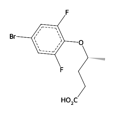 C[C@H](CCC(=O)O)Oc1c(F)cc(Br)cc1F